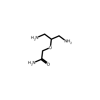 NCC(CN)OCC(N)=O